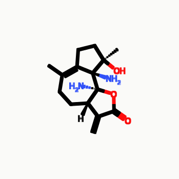 C=C1C(=O)O[C@@]2(N)[C@H]1CCC(C)=C1CC[C@@](C)(O)[C@@]12N